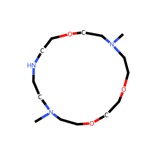 CN1CCNCCOCCN(C)CCOCCOCC1